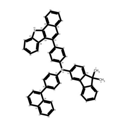 CC1(C)c2ccccc2-c2cc(N(c3ccc(-c4cccc5ccccc45)cc3)c3ccc(-c4cc5ccccc5c5sc6ccccc6c45)cc3)ccc21